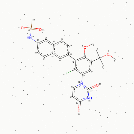 COc1c(C(C)(C)OC)cc(-n2ccc(=O)[nH]c2=O)c(F)c1-c1ccc2cc(NS(C)(=O)=O)ccc2c1